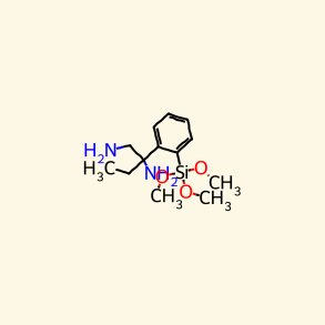 CCC(N)(CN)c1ccccc1[Si](OC)(OC)OC